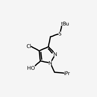 CC(C)Cn1nc(CSC(C)(C)C)c(Cl)c1O